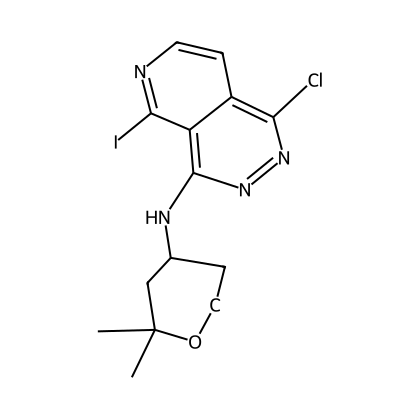 CC1(C)CC(Nc2nnc(Cl)c3ccnc(I)c23)CCO1